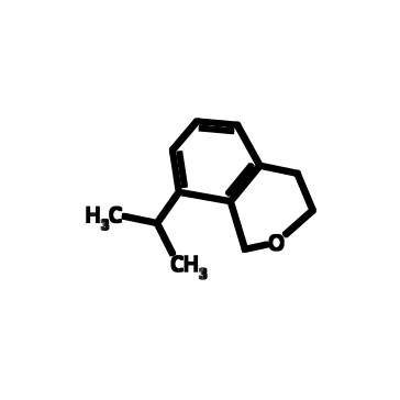 CC(C)c1cccc2c1COCC2